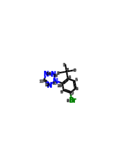 CC(C)(C)c1ccc(Br)cc1-n1ncnn1